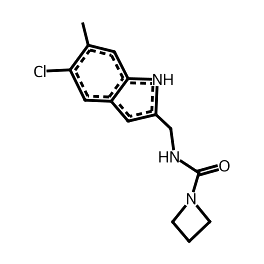 Cc1cc2[nH]c(CNC(=O)N3CCC3)cc2cc1Cl